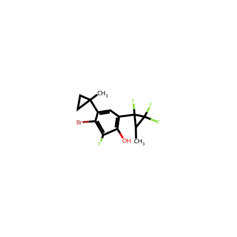 CC1C(F)(F)C1(F)c1cc(C2(C)CC2)c(Br)c(F)c1O